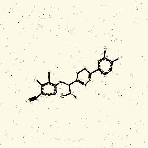 Cc1c(N[C@@H](C2=NN=C(c3ccc(F)c(O)c3)CC2)[C@@H](C)O)ccc(C#N)c1Cl